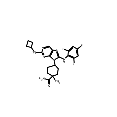 CC1(C(N)=O)CCC(n2c(Nc3c(F)cc(F)cc3F)nc3cnc(NC4CCC4)nc32)CC1